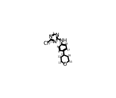 Clc1ncnc(Nc2ccc(C3CCOCC3)cc2)n1